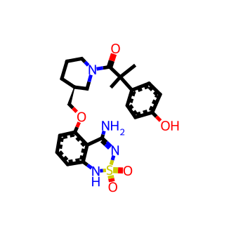 CC(C)(C(=O)N1CCC[C@H](COc2cccc3c2C(N)=NS(=O)(=O)N3)C1)c1ccc(O)cc1